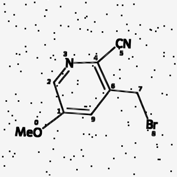 COc1cnc(C#N)c(CBr)c1